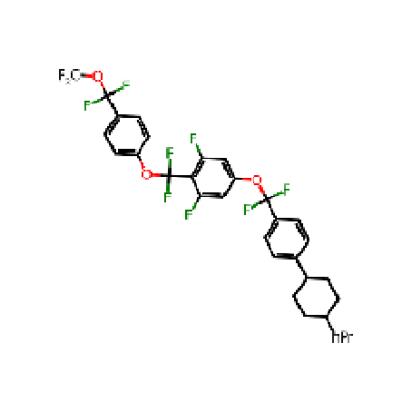 CCCC1CCC(c2ccc(C(F)(F)Oc3cc(F)c(C(F)(F)Oc4ccc(C(F)(F)OC(F)(F)F)cc4)c(F)c3)cc2)CC1